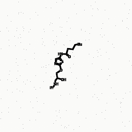 CCC(C)CCCC(=O)Nc1cnc(OCC(O)CNC(C)C)s1